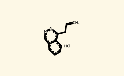 C=CCc1nncc2ccccc12.Cl